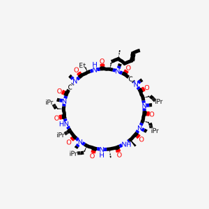 C/C=C/C[C@@H](C)C[C@H]1C(=O)N[C@@H](CC)C(=O)N(C)CC(=O)N(C)[C@@H](CC(C)C)C(=O)NC(C(C)C)C(=O)N(C)[C@@H](CC(C)C)C(=O)N[C@@H](C)C(=O)N[C@H](C)C(=O)N(C)[C@@H](CC(C)C)C(=O)N(C)[C@@H](CC(C)C)C(=O)N(C)CC(=O)N1C